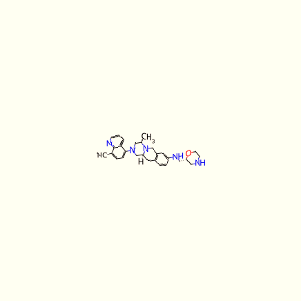 C[C@@H]1CN(c2ccc(C#N)c3ncccc23)C[C@@H]2Cc3ccc(NC[C@H]4CNCCO4)cc3CN21